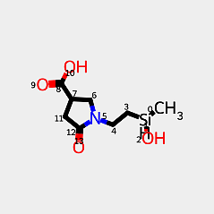 C[SiH](O)CCN1CC(C(=O)O)CC1=O